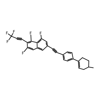 CC1CC=C(c2ccc(C#Cc3cc(F)c4c(F)c(C#CC(F)(F)F)c(F)cc4c3)cc2)CC1